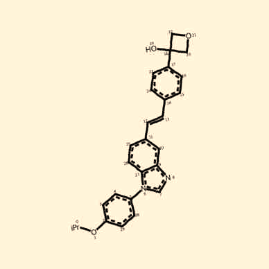 CC(C)Oc1ccc(-n2cnc3cc(C=Cc4ccc(C5(O)COC5)cc4)ccc32)cc1